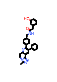 Cc1nnc2c3cc(-c4ccccc4)c(-c4ccc(CNC(=O)Cc5cccc(O)c5)cc4)nc3ccn12